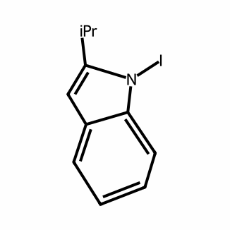 CC(C)c1cc2ccccc2n1I